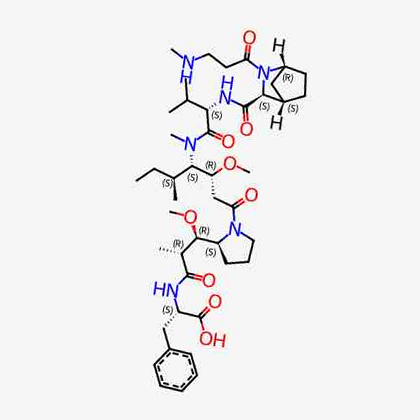 CC[C@H](C)[C@@H]([C@@H](CC(=O)N1CCC[C@H]1[C@H](OC)[C@@H](C)C(=O)N[C@@H](Cc1ccccc1)C(=O)O)OC)N(C)C(=O)[C@@H](NC(=O)[C@@H]1[C@H]2CC[C@H](C2)N1C(=O)CCNC)C(C)C